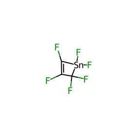 FC1=[C](F)[Sn]([F])([F])[C]1(F)F